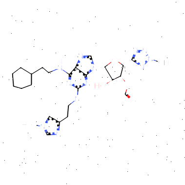 Cn1cnc(CCNc2nc(NCCC3CCCCC3)c3ncn([C@@H]4O[C@H](c5nnn(C)n5)[C@@H](OC=O)[C@H]4O)c3n2)c1